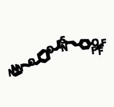 FC(F)(F)Oc1ccc(C=Cc2nc(COc3ccc(COCCn4ccnn4)cc3)cs2)cc1